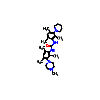 Cc1cc(C)c(N2CCCCC2)c(C)c1NC(=O)Nc1c(C)cc(C)c(N2CCN(C)CC2)c1C